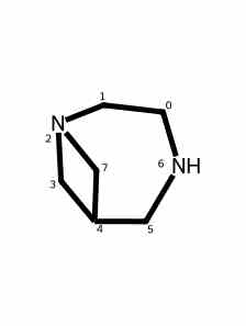 C1CN2CC(CN1)C2